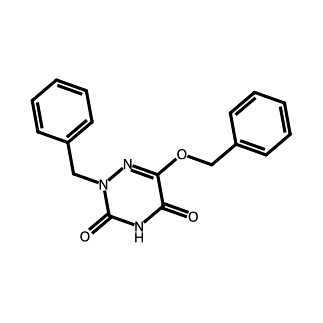 O=c1[nH]c(=O)n(Cc2ccccc2)nc1OCc1ccccc1